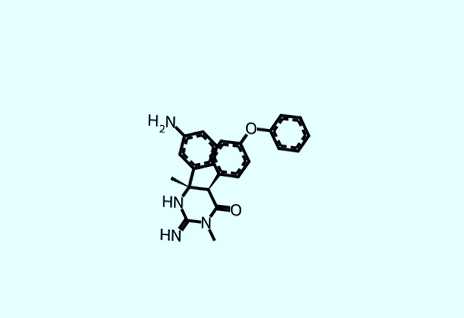 CN1C(=N)N[C@](C)(c2cccc(N)c2)[C@@H](c2ccc(Oc3ccccc3)cc2)C1=O